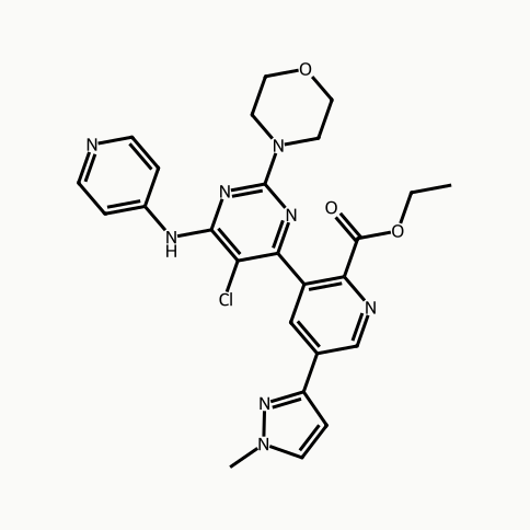 CCOC(=O)c1ncc(-c2ccn(C)n2)cc1-c1nc(N2CCOCC2)nc(Nc2ccncc2)c1Cl